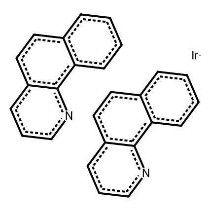 [Ir].c1ccc2c(c1)ccc1cccnc12.c1ccc2c(c1)ccc1cccnc12